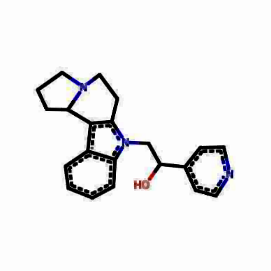 OC(Cn1c2c(c3ccccc31)C1CCCN1CC2)c1ccncc1